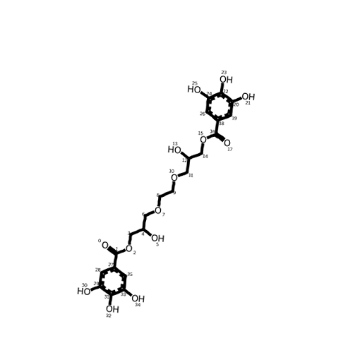 O=C(OCC(O)COCCOCC(O)COC(=O)c1cc(O)c(O)c(O)c1)c1cc(O)c(O)c(O)c1